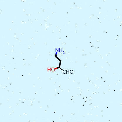 NCC[C@H](O)[C]=O